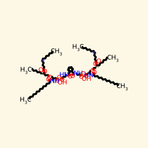 CCCCCC/C=C\CCCC(=O)O[C@H](CCCCCCC)CCOCC(COP(=O)(O)OCCNC(=O)c1ccccc1C(=O)NCCOP(=O)(O)OC[C@@H](COCC[C@@H](CCCCCCC)OC(=O)CCC/C=C\CCCCCC)NC(=O)CCCCCCCCCCCCC)NC(=O)CCCCCCCCCCCCC